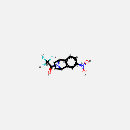 O=C(N1C2CCC1c1cc([N+](=O)[O-])ccc12)C(F)(F)F